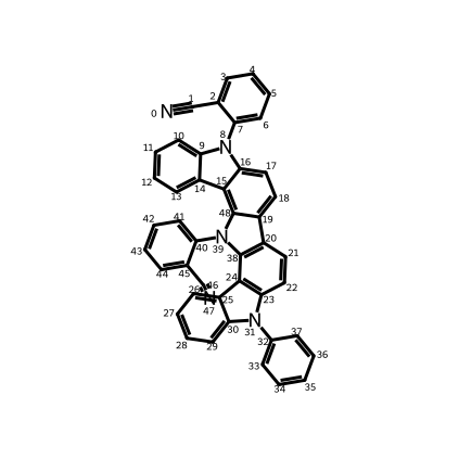 N#Cc1ccccc1-n1c2ccccc2c2c1ccc1c3ccc4c(c5ccccc5n4-c4ccccc4)c3n(-c3ccccc3C#N)c12